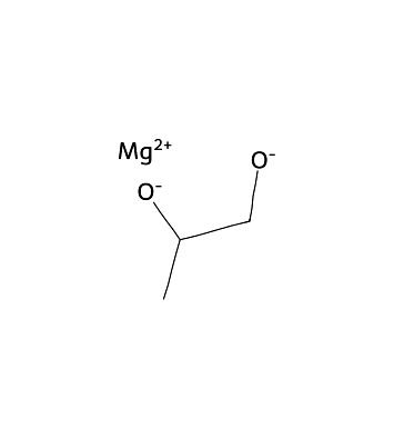 CC([O-])C[O-].[Mg+2]